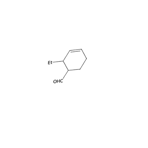 CCC1C=CCCC1C=O